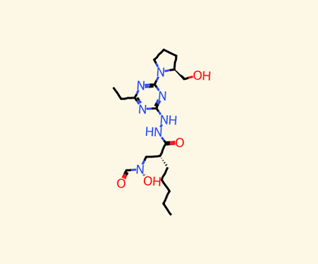 CCCCC[C@H](CN(O)C=O)C(=O)NNc1nc(CC)nc(N2CCC[C@H]2CO)n1